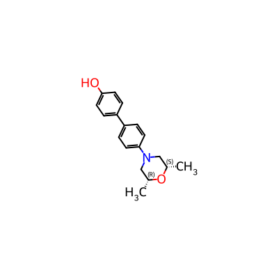 C[C@@H]1CN(c2ccc(-c3ccc(O)cc3)cc2)C[C@H](C)O1